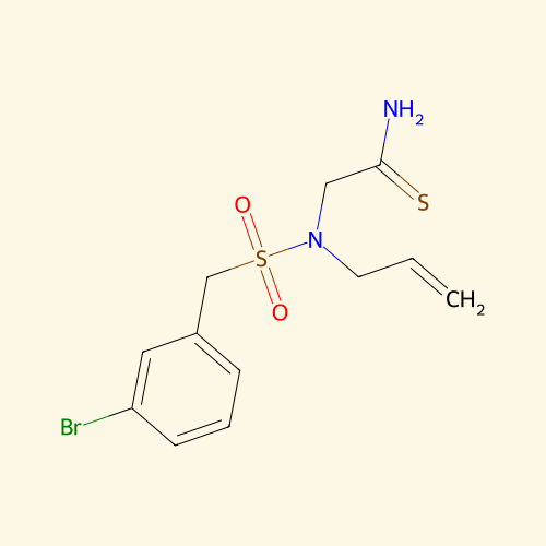 C=CCN(CC(N)=S)S(=O)(=O)Cc1cccc(Br)c1